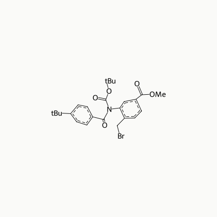 COC(=O)c1ccc(CBr)c(N(C(=O)OC(C)(C)C)C(=O)c2ccc(C(C)(C)C)cc2)c1